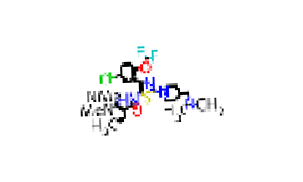 C=CC(C(=O)Nc1sc(N2CCC(CN(C)C)CC2)nc1-c1cc(Cl)ccc1OC(F)F)=C(NC)NC